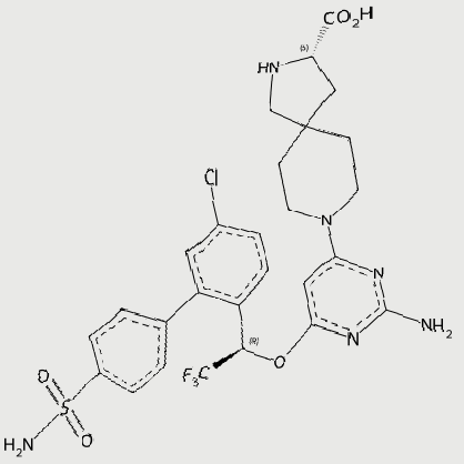 Nc1nc(O[C@H](c2ccc(Cl)cc2-c2ccc(S(N)(=O)=O)cc2)C(F)(F)F)cc(N2CCC3(CC2)CN[C@H](C(=O)O)C3)n1